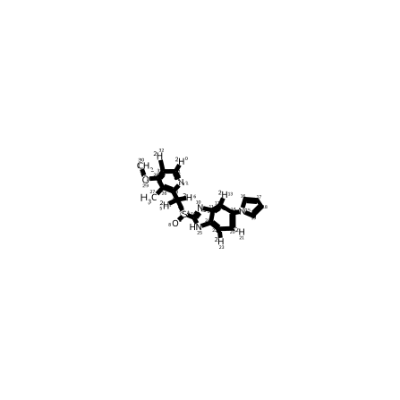 [2H]c1nc(C([2H])([2H])[S+]([O-])c2nc3c([2H])c(-n4cccc4)c([2H])c([2H])c3[nH]2)c(C)c(OC)c1[2H]